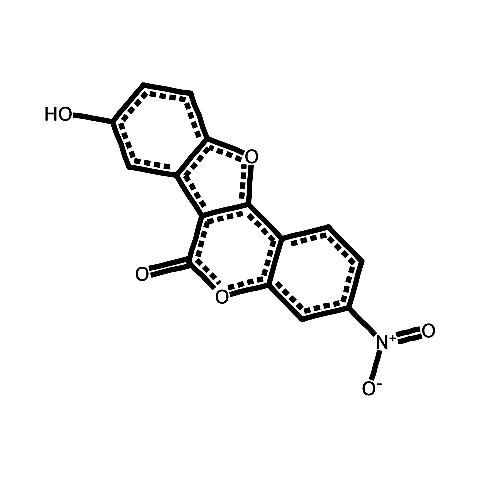 O=c1oc2cc([N+](=O)[O-])ccc2c2oc3ccc(O)cc3c12